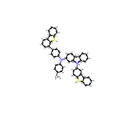 Cc1ccc(N(c2ccc(-c3cccc4c3sc3ccccc34)cc2)c2ccc3c4ccccc4n(-c4ccc5sc6ccccc6c5c4)c3c2)cc1